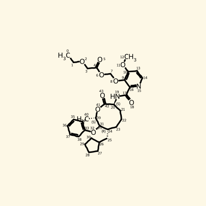 CCOCC(=O)OCOc1c(OC)ccnc1C(=O)N[C@H]1CCC[C@H](CC2CCCC2)[C@@H](Oc2ccccc2)[C@H](C)OC1=O